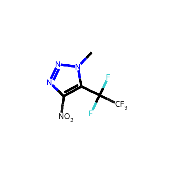 Cn1nnc([N+](=O)[O-])c1C(F)(F)C(F)(F)F